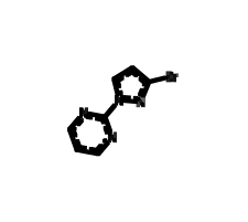 Brc1ccn(-c2ncccn2)n1